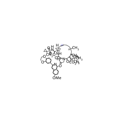 COc1ccc2c(O[C@@H]3C[C@H]4C(=O)N[C@]5(C(=O)NS(=O)(=O)C6(C)CC6)C[C@H]5/C=C\CC[C@@H](C)C[C@@H](C)[C@H](N(C(=O)O)C(C)(C)C(F)(F)F)C(=O)N4C3)nc(-c3ccc4c(c3)OCCO4)cc2c1